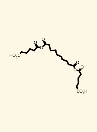 O=C(O)CCCCC(=O)OC(=O)CCCCCCCCC(=O)OC(=O)CCCCC(=O)O